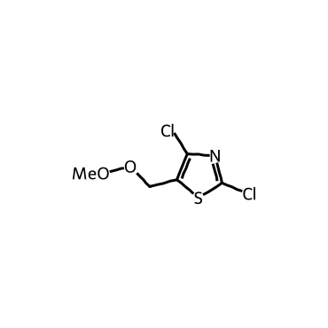 COOCc1sc(Cl)nc1Cl